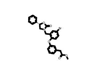 COC(=O)Cc1cccc(Oc2ccc(Br)cc2CN2C[C@H](c3ccccc3)OC2=O)c1